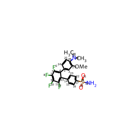 COc1cc(-c2c(F)c(F)c(F)c(F)c2-c2ccc(S(N)(=O)=O)cc2)ccc1N(C)C